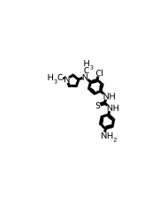 CN1CCC(N(C)c2ccc(NC(=S)Nc3ccc(N)cc3)cc2Cl)C1